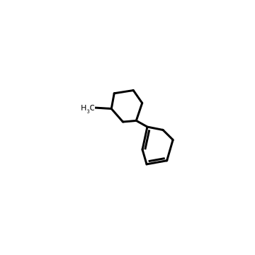 CC1CCCC(C2=CC=CCC2)C1